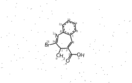 CC1C(C(=O)O)=Cc2ccccc2N=C1Br